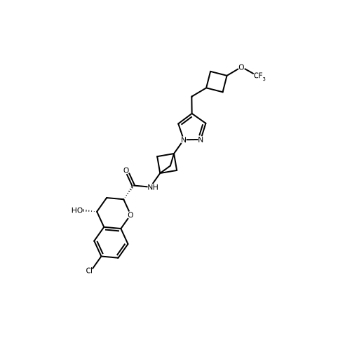 O=C(NC12CC(n3cc(CC4CC(OC(F)(F)F)C4)cn3)(C1)C2)[C@H]1C[C@@H](O)c2cc(Cl)ccc2O1